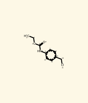 CCOC(=O)Nc1ccc(CCl)cc1